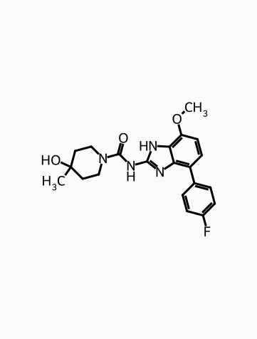 COc1ccc(-c2ccc(F)cc2)c2nc(NC(=O)N3CCC(C)(O)CC3)[nH]c12